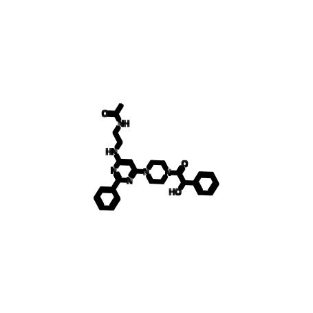 CC(=O)NCCNc1cc(N2CCN(C(=O)C(O)c3ccccc3)CC2)nc(-c2ccccc2)n1